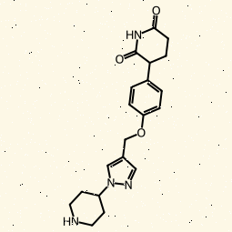 O=C1CCC(c2ccc(OCc3cnn(C4CCNCC4)c3)cc2)C(=O)N1